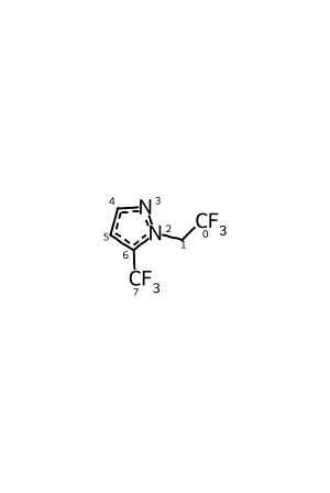 FC(F)(F)Cn1nccc1C(F)(F)F